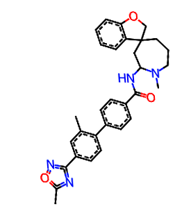 Cc1nc(-c2ccc(-c3ccc(C(=O)NC4CC5(CCCN4C)COc4ccccc45)cc3)c(C)c2)no1